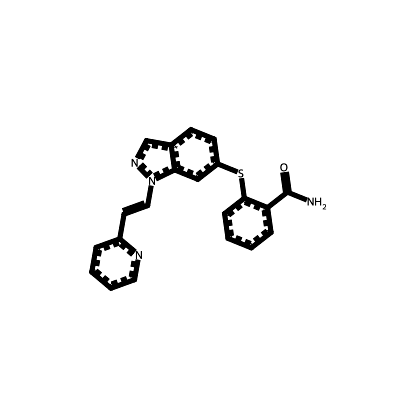 NC(=O)c1ccccc1Sc1ccc2cnn(C=Cc3ccccn3)c2c1